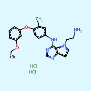 Cc1cc(Nc2ncnc3ccn(CCN)c23)ccc1Oc1cccc(OCC(C)(C)C)c1.Cl.Cl